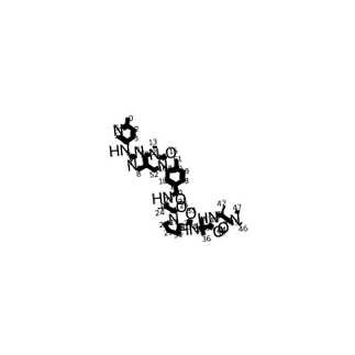 Cc1ccc(Nc2ncc3c(n2)N(C)C(=O)N(c2cc(C(=O)N[C@@H](C)C(=O)N4CCC[C@H]4C(=O)NC(C)(C)C(=O)N[C@@H](C)C(=O)N(C)C)ccc2C)C3)cn1